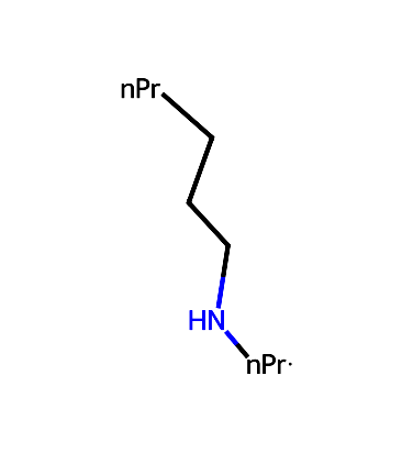 CC[CH]NCCCCCC